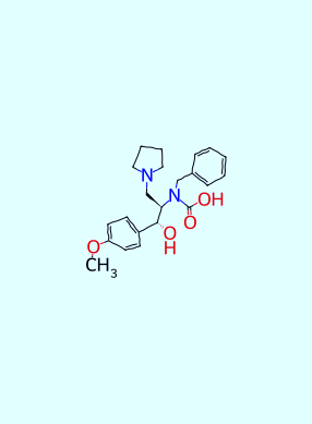 COc1ccc([C@@H](O)[C@@H](CN2CCCC2)N(Cc2ccccc2)C(=O)O)cc1